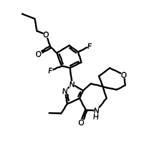 CCCOC(=O)c1cc(F)cc(-n2nc(CC)c3c2CC2(CCOCC2)CNC3=O)c1F